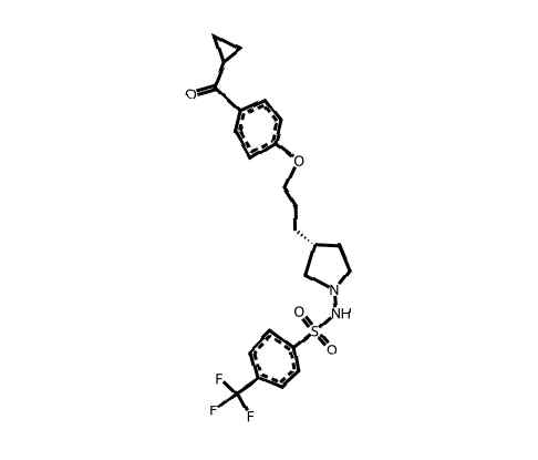 O=C(c1ccc(OCCC[C@@H]2CCN(NS(=O)(=O)c3ccc(C(F)(F)F)cc3)C2)cc1)C1CC1